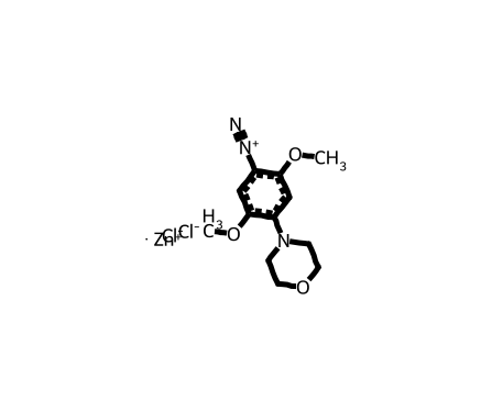 COc1cc(N2CCOCC2)c(OC)cc1[N+]#N.[Cl-].[Cl-].[Zn+]